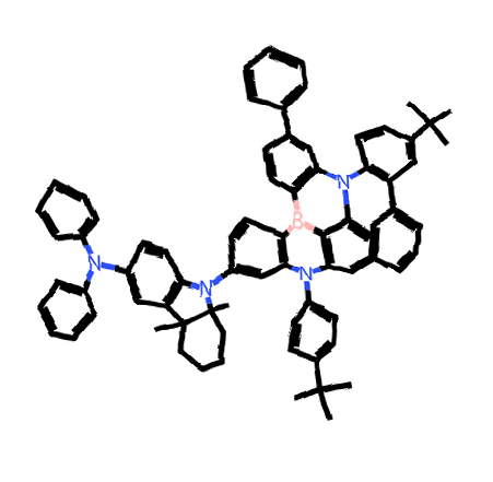 Cc1cc2c3c(c1)N(c1ccc(C(C)(C)C)cc1-c1ccccc1)c1cc(-c4ccccc4)ccc1B3c1ccc(N3c4ccc(N(c5ccccc5)c5ccccc5)cc4C4(C)CCCCC34C)cc1N2c1ccc(C(C)(C)C)cc1